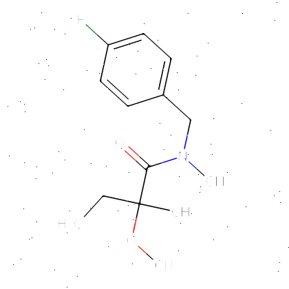 CCC(C)(OC)C(=O)N(C)Cc1ccc(F)cc1